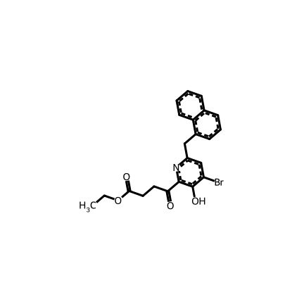 CCOC(=O)CCC(=O)c1nc(Cc2cccc3ccccc23)cc(Br)c1O